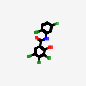 O=C(Nc1cc(Cl)ccc1Cl)c1cc(Cl)c(Cl)c(Cl)c1O